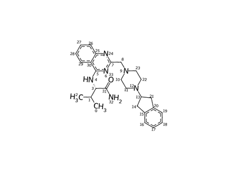 CC(C)[C@H](Nc1nc(CN2CCN(C3Cc4ccccc4C3)CC2)nc2ccccc12)C(N)=O